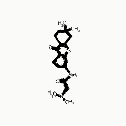 CN(C)CC(=O)Nc1ccc2c(=O)c3c(sc2c1)CC(C)(C)CC3